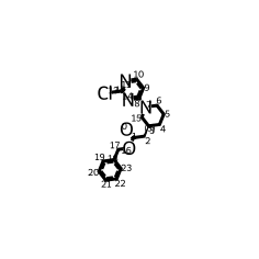 O=C(C[C@@H]1CCCN(c2ccnc(Cl)n2)C1)OCc1ccccc1